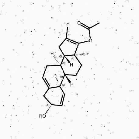 CC(=O)OC1=C(F)C[C@H]2[C@@H]3CC=C4C[C@@H](O)C=C[C@]4(C)[C@H]3CC[C@]12C